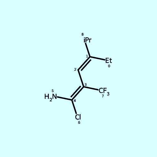 CC/C(=C\C(=C(/N)Cl)C(F)(F)F)C(C)C